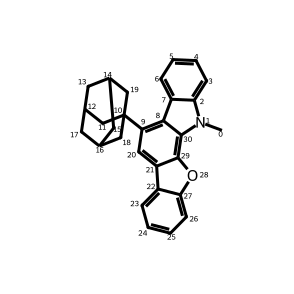 Cn1c2ccccc2c2c(C34CC5CC(CC(C5)C3)C4)cc3c4ccccc4oc3c21